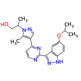 Cc1c(-c2ccnc(-c3n[nH]c4ccc(OC(C)C)cc34)n2)cnn1C(C)CO